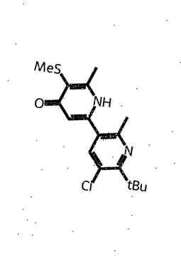 CSc1c(C)[nH]c(-c2cc(Cl)c(C(C)(C)C)nc2C)cc1=O